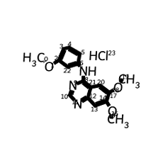 COc1cccc(Nc2ncnc3cc(OC)c(OC)cc23)c1.Cl